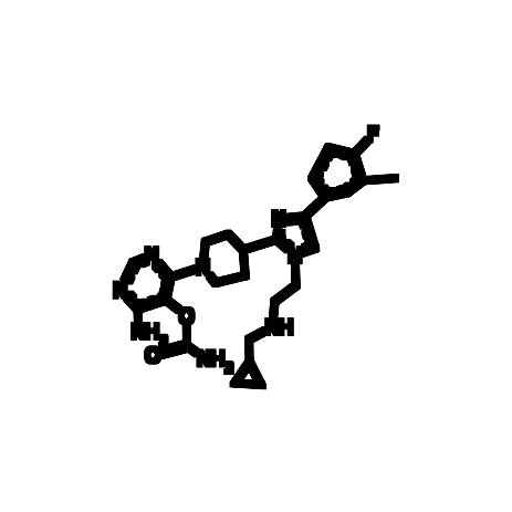 Cc1cc(-c2cn(CCNCC3CC3)c(C3CCN(c4ncnc(N)c4OC(N)=O)CC3)n2)ccc1F